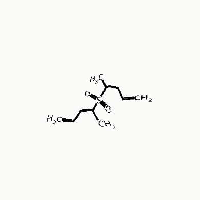 C=CCC(C)S(=O)(=O)C(C)CC=C